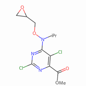 COC(=O)c1nc(Cl)nc(N(OCC2CO2)C(C)C)c1Cl